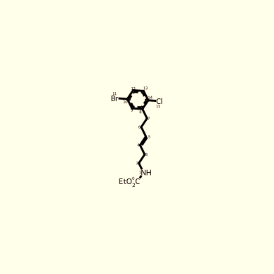 CCOC(=O)NCC/C=C/CCc1cc(Br)ccc1Cl